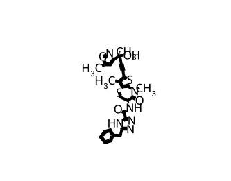 Cc1cc([C@@](C)(O)C#Cc2sc3c(c2C)SC[C@H](NC(=O)c2nnc(Cc4ccccc4)[nH]2)C(=O)N3C)no1